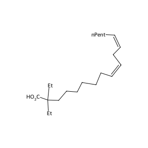 CCCCC/C=C\C/C=C\CCCCCCC(CC)(CC)C(=O)O